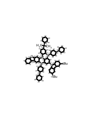 CC(C)(C)c1ccc2c(c1)c1cc(C(C)(C)C)ccc1n2-c1cc2c3c(c1)N(c1ccc(-c4ccccc4)cc1)c1cc4c(cc1B3c1ccc(C(C)(C)c3ccccc3)cc1N2c1ccc(-c2ccccc2)cc1)oc1ccccc14